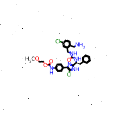 COCCOC(=O)Nc1ccc(-c2nc([C@H](Cc3ccccc3)NC(=O)NCc3cc(Cl)ccc3CN)[nH]c2Cl)cc1